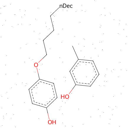 CCCCCCCCCCCCCCOc1ccc(O)cc1.Cc1cccc(O)c1